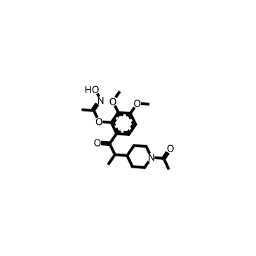 COc1ccc(C(=O)C(C)C2CCN(C(C)=O)CC2)c(OC(C)=NO)c1OC